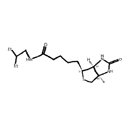 CCC(CC)CNC(=O)CCCC[C@@H]1SC[C@]2(C)NC(=O)N[C@H]12